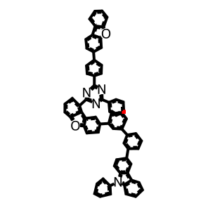 c1ccc(-c2nc(-c3ccc(-c4ccc5c(c4)oc4ccccc45)cc3)nc(-c3cccc4oc5ccc(-c6cccc(-c7cccc(-c8ccc9c(c8)c8ccccc8n9-c8ccccc8)c7)c6)cc5c34)n2)cc1